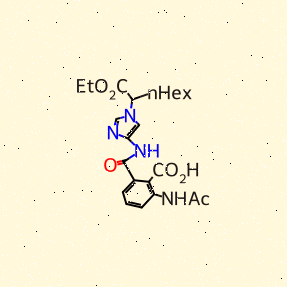 CCCCCCC(C(=O)OCC)n1cnc(NC(=O)c2cccc(NC(C)=O)c2C(=O)O)c1